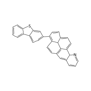 C1=CC2=CC3=C4C(=CC=C5C=CC(c6ccc7c(c6)sc6ccccc67)=C(C=C3)C54)C2N=C1